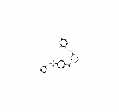 Cc1ncccc1OCC1CN(C(=O)c2ccc(S(=O)(=O)Nc3nccs3)cc2)CCO1